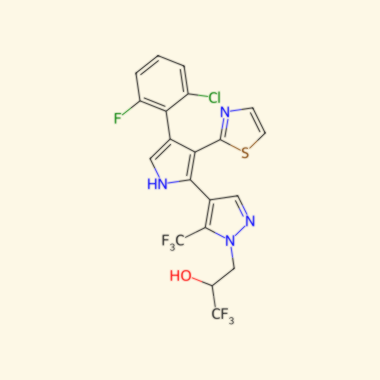 OC(Cn1ncc(-c2[nH]cc(-c3c(F)cccc3Cl)c2-c2nccs2)c1C(F)(F)F)C(F)(F)F